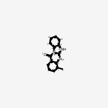 Cc1cccc2c(=O)n3c(nc12)[nH]c1ccccc13